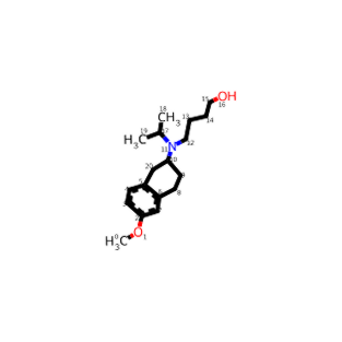 COc1ccc2c(c1)CCC(N(CCCCO)C(C)C)C2